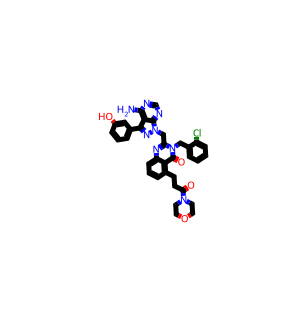 Nc1ncnc2c1c(-c1cccc(O)c1)nn2Cc1nc2cccc(CCC(=O)N3CCOCC3)c2c(=O)n1Cc1ccccc1Cl